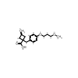 C=C1CC(Cc2ccc(OCCCOC)cc2)(C(=O)O)C1